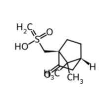 C=S(=O)(O)C[C@]12CC[C@H](CC1=O)C2(C)C